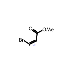 COC(=O)/C=[C]\Br